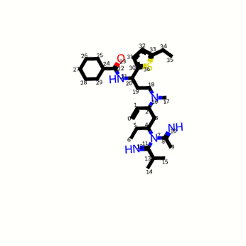 C=CC(CC(CC)N(C(C)=N)C(=N)C(C)C)N(C)CCC(NC(=O)C1CCCCC1)c1ccc(CC)s1